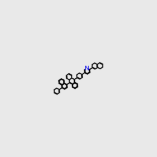 C1=CCCC(c2ccc(C3=c4ccccc4=C(C4=CC=C(c5ccc(C6=CC7=C(C=CCC7)CC6)nc5)CC4)C4C=CC=CC34)c3ccccc23)=C1